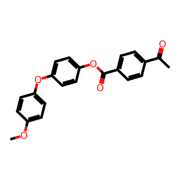 COc1ccc(Oc2ccc(OC(=O)c3ccc(C(C)=O)cc3)cc2)cc1